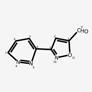 O=Cc1cc(-c2cccnn2)no1